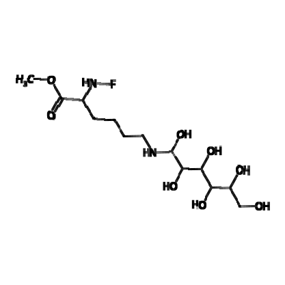 COC(=O)C(CCCCNC(O)C(O)C(O)C(O)C(O)CO)NF